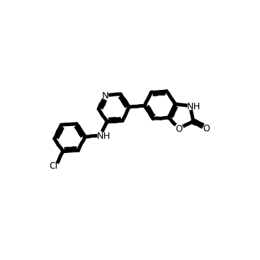 O=c1[nH]c2ccc(-c3cncc(Nc4cccc(Cl)c4)c3)cc2o1